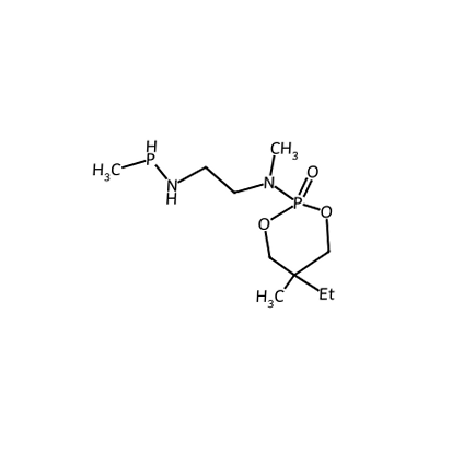 CCC1(C)COP(=O)(N(C)CCNPC)OC1